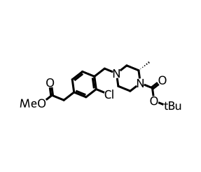 COC(=O)Cc1ccc(CN2CCN(C(=O)OC(C)(C)C)[C@@H](C)C2)c(Cl)c1